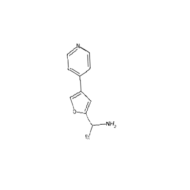 CCC(N)c1cc(-c2ccncc2)co1